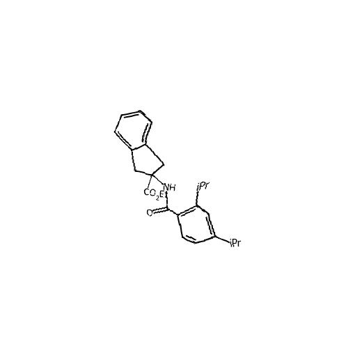 CCOC(=O)C1(NC(=O)c2ccc(C(C)C)cc2C(C)C)Cc2ccccc2C1